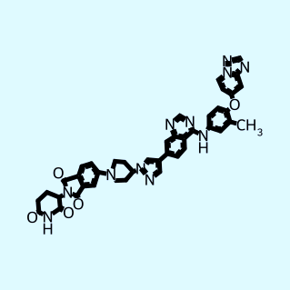 Cc1cc(Nc2ncnc3cc(-c4cnn(C5CCN(c6ccc7c(c6)C(=O)N(C6CCC(=O)NC6=O)C7=O)CC5)c4)ccc23)ccc1Oc1ccn2ncnc2c1